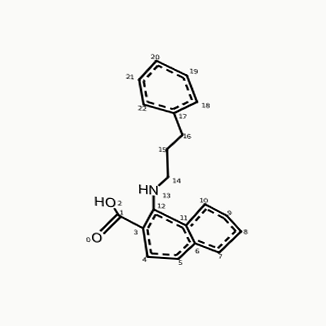 O=C(O)c1ccc2ccccc2c1NCCCc1ccccc1